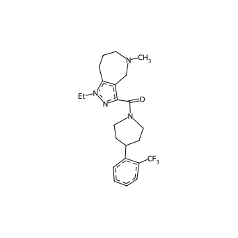 CCn1nc(C(=O)N2CCC(c3ccccc3C(F)(F)F)CC2)c2c1CCCN(C)C2